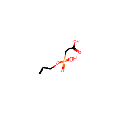 C=CCOP(=O)(O)CC(=O)O